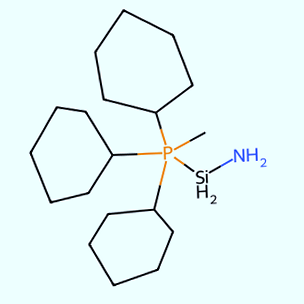 CP([SiH2]N)(C1CCCCC1)(C1CCCCC1)C1CCCCC1